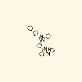 c1ccc(-c2ccc(-c3cc(-c4cccc(-c5nc6c(nc7ccccn76)c6ccccc56)c4)nc(-c4ccccc4)n3)cc2)cc1